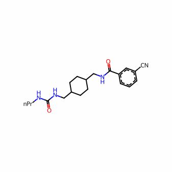 CCCNC(=O)NCC1CCC(CNC(=O)c2cccc(C#N)c2)CC1